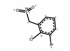 O=[SH](=O)Cc1cccc(Br)c1Cl